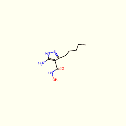 CCCCCc1n[nH]c(N)c1C(=O)NO